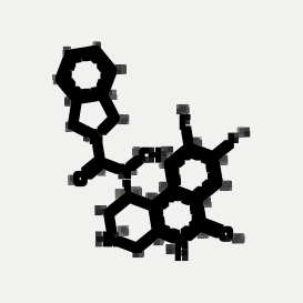 CN(C(=O)N1Cc2ccccc2C1)[C@H]1CNCc2[nH]c(=O)c3cc(F)c(F)cc3c21